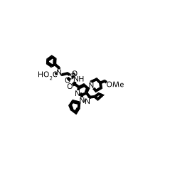 COCC1CCN(c2cc(C(=O)NS(=O)(=O)CCN(Cc3ccccc3)C(=O)O)nc3c2c(C2CCC2)nn3-c2ccccc2)CC1